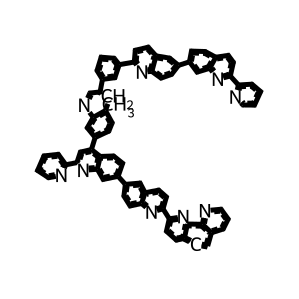 C=C(/C=N\c1cc(-c2cc(-c3ccccn3)nc3cc(-c4ccc5nc(-c6ccc7ccc8cccnc8c7n6)ccc5c4)ccc23)ccc1C)c1cccc(-c2ccc3cc(-c4ccc5ccc(-c6ccccn6)nc5c4)ccc3n2)c1